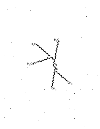 CCCCCCCCCCCCCCN(CCCCCCCCCCCCCC)CCN(CCCCCCCCCCCCCC)CCN1CCN(C(=O)CN(CCCCCCCCCCCC)CCCCCCCCCCCC)CC1